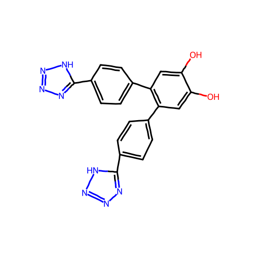 Oc1cc(-c2ccc(-c3nnn[nH]3)cc2)c(-c2ccc(-c3nnn[nH]3)cc2)cc1O